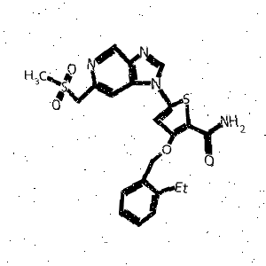 CCc1ccccc1COc1cc(-n2cnc3cnc(CS(C)(=O)=O)cc32)sc1C(N)=O